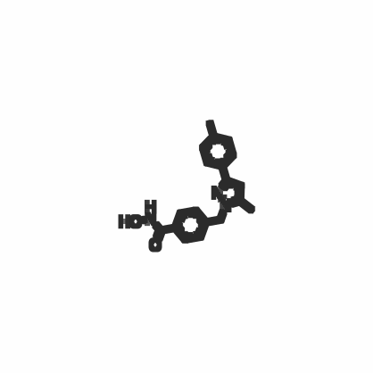 Cc1ccc(-c2cc(C)n(Cc3ccc(C(=O)NO)cc3)n2)cc1